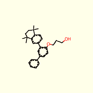 CC1(C)CCC(C)(C)c2cc(-c3cc(-c4ccccc4)ccc3OCCCO)ccc21